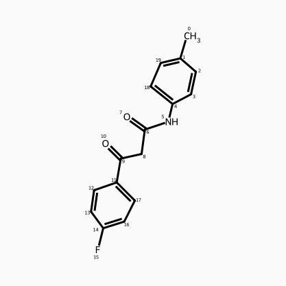 Cc1ccc(NC(=O)CC(=O)c2ccc(F)cc2)cc1